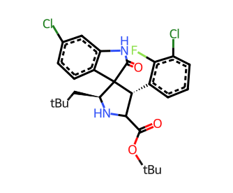 CC(C)(C)C[C@@H]1NC(C(=O)OC(C)(C)C)[C@@H](c2cccc(Cl)c2F)C12C(=O)Nc1cc(Cl)ccc12